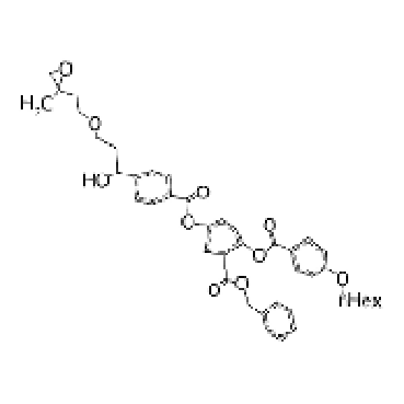 CCCCCCOc1ccc(C(=O)Oc2ccc(OC(=O)c3ccc(C(O)CCOCCC4(C)CO4)cc3)cc2C(=O)OCc2ccccc2)cc1